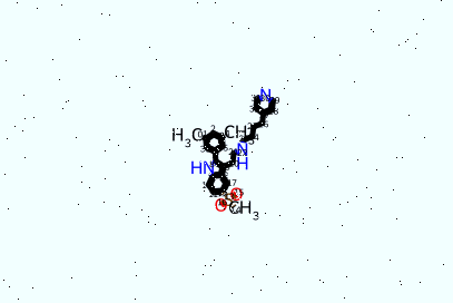 Cc1cc(C)cc(-c2[nH]c3ccc(S(C)(=O)=O)cc3c2CCNCCCCc2ccncc2)c1